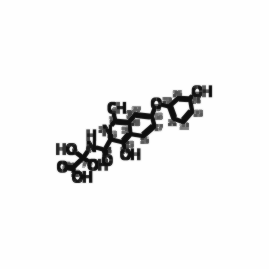 Cc1nc(C(=O)NC(O)(O)C(=O)O)c(O)c2ccc(Oc3cccc(O)c3)cc12